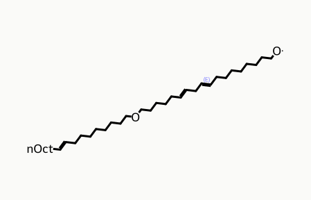 CCCCCCCCC=CCCCCCCCCOCCCCCC=CC/C=C/CCCCCCCC[O]